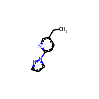 CCc1ccc(-n2cccn2)nc1